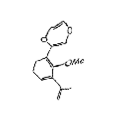 C=C(C)C1=CCCC(C2=COC=CO2)=C1OC